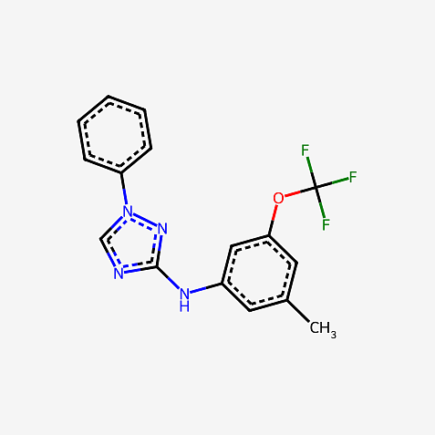 Cc1cc(Nc2ncn(-c3ccccc3)n2)cc(OC(F)(F)F)c1